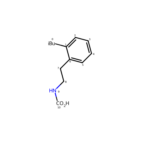 CCC(C)c1ccccc1CCNC(=O)O